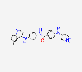 Cc1ccc2nccc(Nc3ccc(NC(=O)c4ccc(Nc5cc[n+](C)cc5)cc4)cc3)c2c1